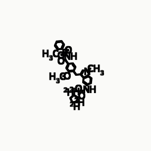 [2H]C1([2H])CCC([2H])([2H])C1OC(=O)Nc1ccc2c(c1)c(Cc1ccc(C(=O)NS(=O)(=O)c3ccccc3C)cc1OC)cn2C